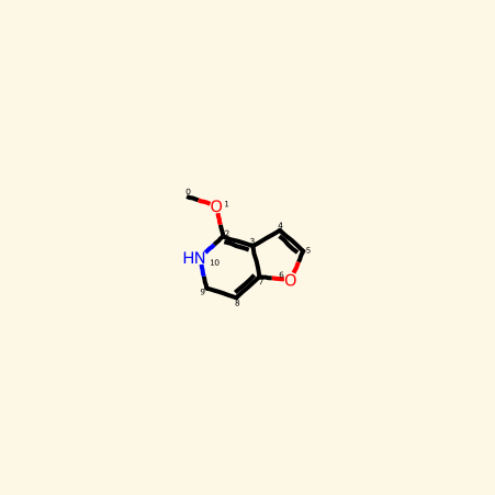 COC1=c2ccoc2=CCN1